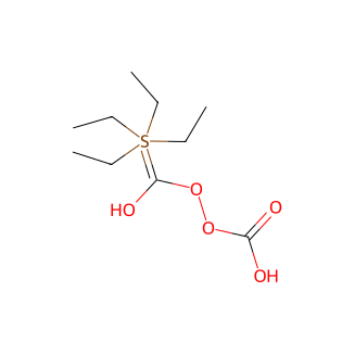 CCS(CC)(CC)(CC)=C(O)OOC(=O)O